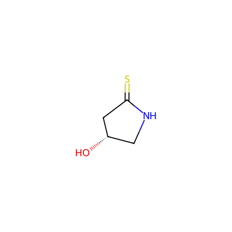 O[C@H]1CNC(=S)C1